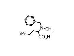 CC(C)CCC(C(=O)O)N(C)Cc1ccccc1